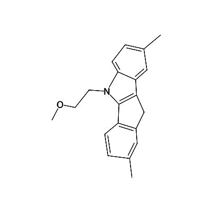 COCCn1c2c(c3cc(C)ccc31)Cc1cc(C)ccc1-2